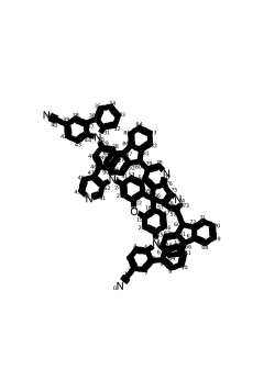 N#Cc1ccc2c(c1)c1ccccc1n2-c1ccc2c(c1)Oc1cc(-n3c4ccc(-n5c6ccccc6c6cc(C#N)ccc65)cc4c4ccncc43)ccc1C21c2cc(C3c4ccccc4-c4ccccc43)cnc2-c2ncc(C3c4ccccc4-c4ccccc43)cc21